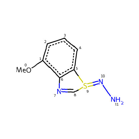 COc1cccc2c1N=CS2=NN